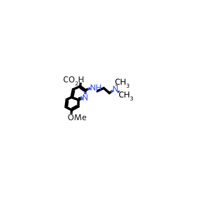 COc1ccc2cc(C(=O)O)c(NCCCN(C)C)nc2c1